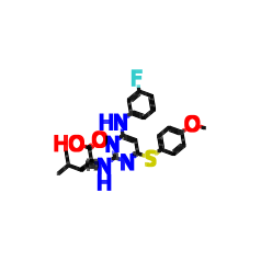 COc1ccc(Sc2cc(Nc3cccc(F)c3)nc(N[C@@H](CC(C)C)C(=O)O)n2)cc1